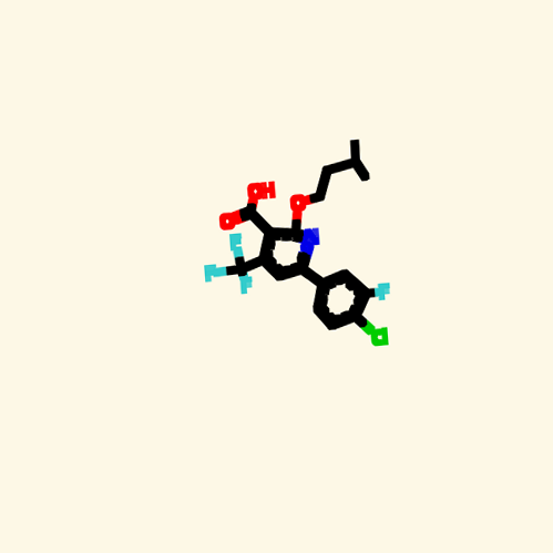 CC(C)CCOc1nc(-c2ccc(Cl)c(F)c2)cc(C(F)(F)F)c1C(=O)O